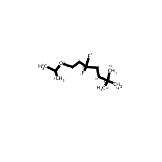 CC(C)OCCC(F)(F)CCC(C)(C)C